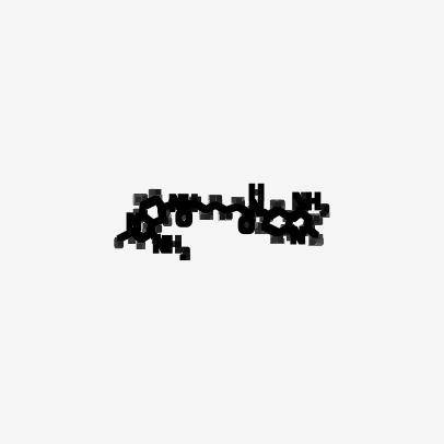 Cc1cc(N)c2cc(NC(=O)CCCCCC(=O)Nc3ccc4nc(C)cc(N)c4c3)ccc2n1